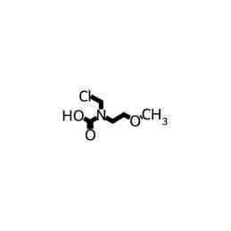 COCCN(CCl)C(=O)O